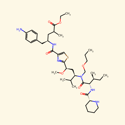 CCCOCN(C(=O)[C@@H](NC(=O)[C@H]1CCCCN1)[C@@H](C)CC)[C@H](C[C@@H](OC)c1nc(C(=O)N[C@@H](Cc2ccc(N)cc2)CC(C)C(=O)OCC)cs1)C(C)C